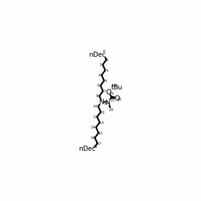 CCCCCCCCCCCCCCCCCCN(CCCCCCCCCCCCCCCCCC)N(C)C(=O)OC(C)(C)C